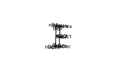 CCCCCCCCCCN(CCCCCCCCCC)C(=O)CCCCCCCCC(CCCCCCCCC(=O)OCC(CCCC)CCCCCC)NCCCCCCCC.CCCCCCCCCCN(CCCCCCCCCC)CCCCCCCCC[C@H](NCCCCCCCC)C(=O)CCCCCCCC(=O)OCC(CCCC)CCCCCC